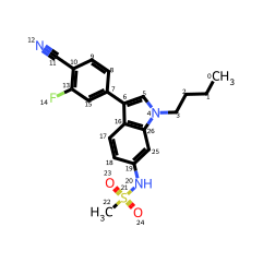 CCCCn1cc(-c2ccc(C#N)c(F)c2)c2ccc(NS(C)(=O)=O)cc21